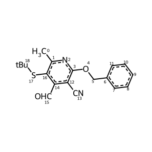 Cc1nc(OCc2ccccc2)c(C#N)c(C=O)c1SC(C)(C)C